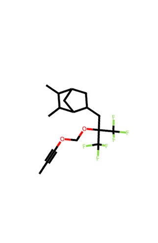 CC#COCOC(CC1CC2CC1C(C)C2C)(C(F)(F)F)C(F)(F)F